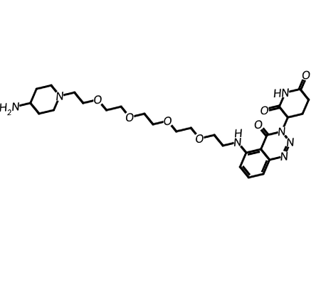 NC1CCN(CCOCCOCCOCCOCCNc2cccc3nnn(C4CCC(=O)NC4=O)c(=O)c23)CC1